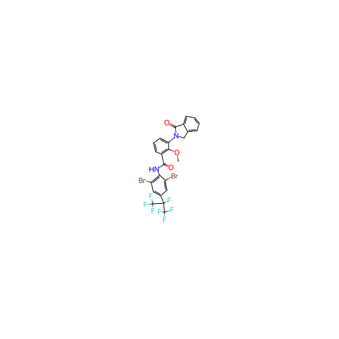 COc1c(C(=O)Nc2c(Br)cc(C(F)(C(F)(F)F)C(F)(F)F)cc2Br)cccc1N1Cc2ccccc2C1=O